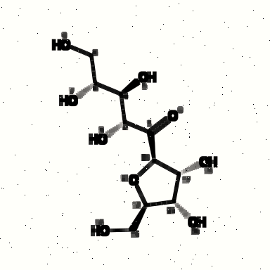 O=C([C@H](O)[C@H](O)[C@H](O)CO)[C@@H]1O[C@H](CO)[C@@H](O)[C@H]1O